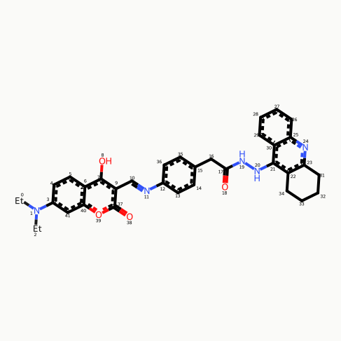 CCN(CC)c1ccc2c(O)c(C=Nc3ccc(CC(=O)NNc4c5c(nc6ccccc46)CCCC5)cc3)c(=O)oc2c1